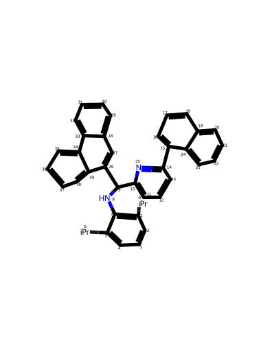 CC(C)c1cccc(C(C)C)c1NC(c1cccc(-c2cccc3ccccc23)n1)c1cc2ccccc2c2ccccc12